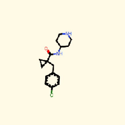 O=C(NC1CCNCC1)C1(Cc2ccc(Cl)cc2)CC1